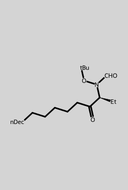 CCCCCCCCCCCCCCCC(=O)[C@H](CC)N(C=O)OC(C)(C)C